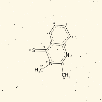 Cc1nc2ccccc2c(=S)n1C